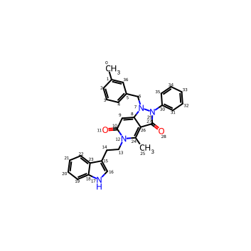 Cc1cccc(Cn2c3cc(=O)n(CCc4c[nH]c5ccccc45)c(C)c3c(=O)n2-c2ccccc2)c1